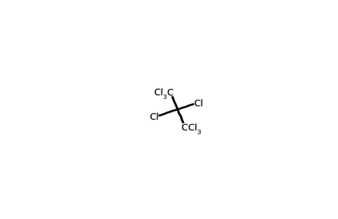 ClC(Cl)(Cl)C(Cl)(Cl)C(Cl)(Cl)Cl